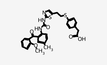 COc1ccccc1C(=O)c1cc(C)ccc1NC(=O)Nc1ncc(CCSc2ccc(CC(=O)O)cc2)s1